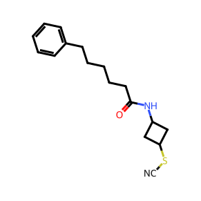 N#CSC1CC(NC(=O)CCCCCc2ccccc2)C1